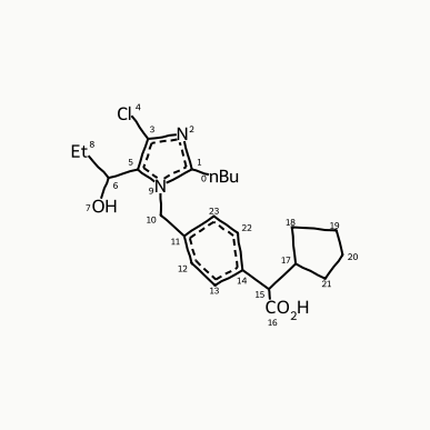 CCCCc1nc(Cl)c(C(O)CC)n1Cc1ccc(C(C(=O)O)C2CCCC2)cc1